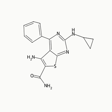 NC(=O)c1sc2nc(NC3CC3)nc(-c3ccccc3)c2c1N